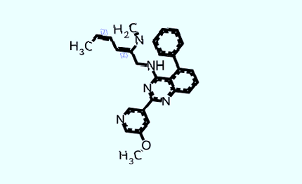 C=N/C(=C\C=C/C)CNc1nc(-c2cncc(OC)c2)nc2cccc(-c3ccccc3)c12